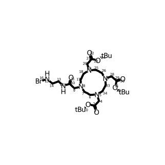 CC(C)(C)OC(=O)CN1CCN(CC(=O)NCCNBr)CCN(CC(=O)OC(C)(C)C)CCN(CC(=O)OC(C)(C)C)CC1